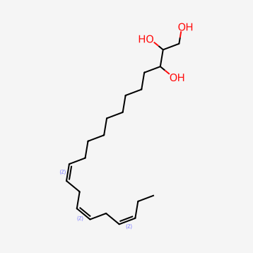 CC/C=C\C/C=C\C/C=C\CCCCCCCCC(O)C(O)CO